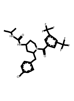 CC(C)NC(=O)NC1CCN(C(=O)c2cc(C(F)(F)F)cc(C(F)(F)F)c2)C(Cc2ccc(Cl)cc2)C1